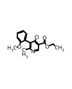 CCOC(=O)c1cnc(C)c(-c2ccccc2OC)c1Cl